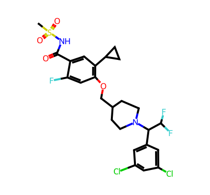 CS(=O)(=O)NC(=O)c1cc(C2CC2)c(OCC2CCN(C(c3cc(Cl)cc(Cl)c3)C(F)F)CC2)cc1F